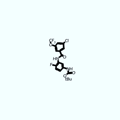 CC(C)(C)OC(=O)Nc1ccc(F)c(NC(=O)c2cc(Cl)cc(OC(F)(F)F)c2)c1